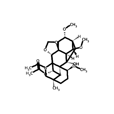 CCN1C[C@]2(C)CC[C@H](OC)[C@]34C2[C@H](OC(C)=O)[C@@]2(OCO[C@@]25C[C@H](OC)[C@H]2C[C@]3(O)[C@@H]5[C@H]2OC)C14